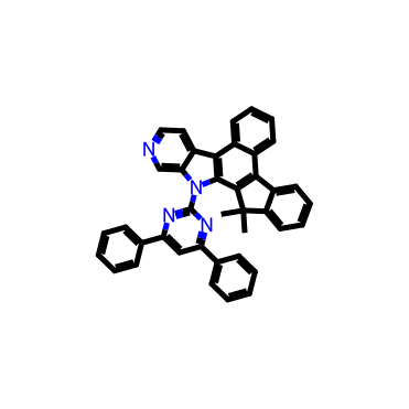 CC1(C)c2ccccc2-c2c1c1c(c3ccccc23)c2ccncc2n1-c1nc(-c2ccccc2)cc(-c2ccccc2)n1